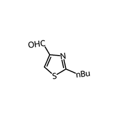 CCCCc1nc(C=O)cs1